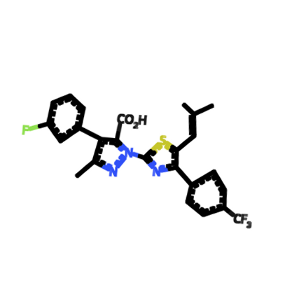 CC(C)=Cc1sc(-n2nc(C)c(-c3cccc(F)c3)c2C(=O)O)nc1-c1ccc(C(F)(F)F)cc1